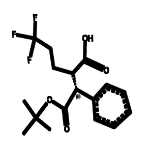 CC(C)(C)OC(=O)[C@@H](c1ccccc1)C(CCC(F)(F)F)C(=O)O